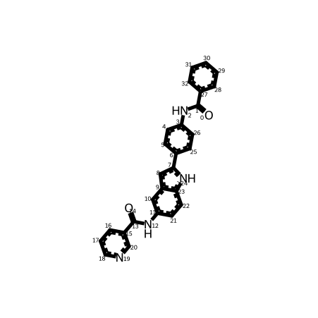 O=C(Nc1ccc(-c2cc3cc(NC(=O)c4cccnc4)ccc3[nH]2)cc1)c1ccccc1